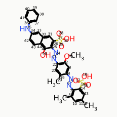 COc1cc(N=Nc2c(C)cc(C)cc2S(=O)(=O)O)c(C)cc1N=Nc1c(S(=O)(=O)O)cc2cc(Nc3ccccc3)ccc2c1O